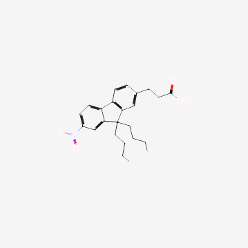 CCCCC1(CCCC)c2cc(CCC(=O)O)ccc2-c2ccc([N+](=O)[O-])cc21